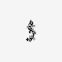 C=Cc1c(-c2nnc(CNC(=O)c3cnn(C(C)(C)C)c3)s2)nn2c(N[C@@H]3CCN(C)C[C@@H]3F)cncc12